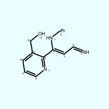 CC(C)N/C(=C\C=N)c1ncccc1CO